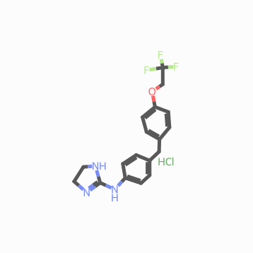 Cl.FC(F)(F)COc1ccc(Cc2ccc(NC3=NCCN3)cc2)cc1